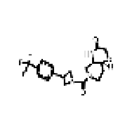 O=C1CO[C@H]2CCN(C(=O)N3CC(c4ccc(C(F)(F)F)cc4)C3)CC2N1